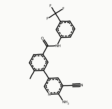 Cc1ccc(C(=O)Nc2cccc(C(F)(F)F)c2)cc1-c1cnc(N)c(C#N)c1